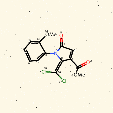 COC(=O)C1=CC(=O)N(c2ccccc2OC)C1=C(Cl)Cl